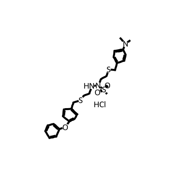 CN(C)c1ccc(CSCCN(NCCSCc2ccc(Oc3ccccc3)cc2)S(C)(=O)=O)cc1.Cl